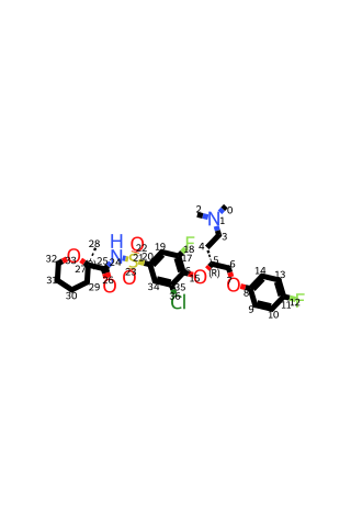 CN(C)CC[C@H](COc1ccc(F)cc1)Oc1c(F)cc(S(=O)(=O)NC(=O)[C@@]2(C)CCCCO2)cc1Cl